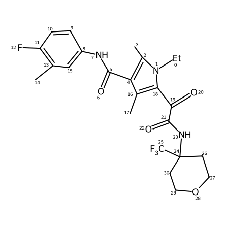 CCn1c(C)c(C(=O)Nc2ccc(F)c(C)c2)c(C)c1C(=O)C(=O)NC1(C(F)(F)F)CCOCC1